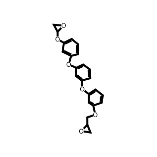 c1cc(OCC2CO2)cc(Oc2cccc(Oc3cccc(OC4CO4)c3)c2)c1